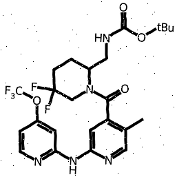 Cc1cnc(Nc2cc(OC(F)(F)F)ccn2)cc1C(=O)N1CC(F)(F)CCC1CNC(=O)OC(C)(C)C